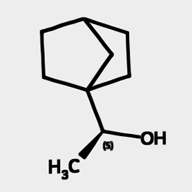 C[C@H](O)C12CCC(CC1)C2